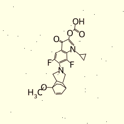 COC12C=CC(CC1)C1CN(c3c(F)cc4c(=O)c(OC(=O)O)cn(C5CC5)c4c3F)CC12